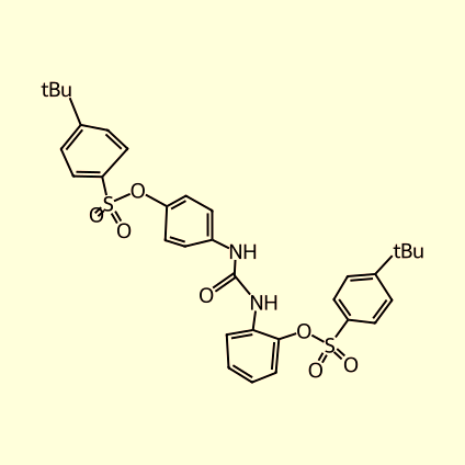 CC(C)(C)c1ccc(S(=O)(=O)Oc2ccc(NC(=O)Nc3ccccc3OS(=O)(=O)c3ccc(C(C)(C)C)cc3)cc2)cc1